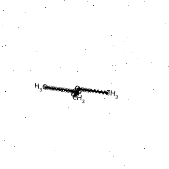 CCCCCCCCCCCCCCCCCC(=O)ON(CCC)OC(=O)CCCCCCCCCCCCCCCCC